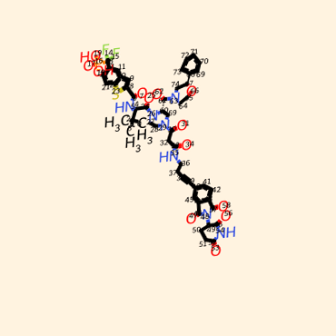 CC(C)(C)C(NC(=O)c1cc2cc(C(F)(F)P(=O)(O)O)ccc2s1)C(=O)N1CCN(C(=O)CC(=O)NCCC#Cc2ccc3c(c2)C(=O)N(C2CCC(=O)NC2=O)C3=O)C[C@H]1C(=O)N1CCO[C@H](c2ccccc2)C1